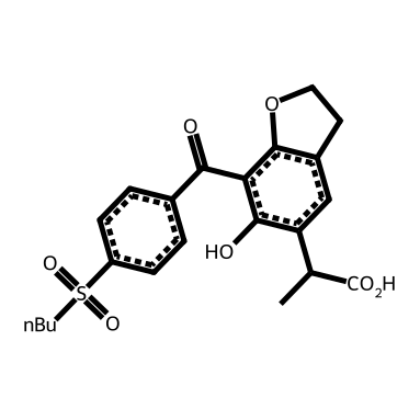 CCCCS(=O)(=O)c1ccc(C(=O)c2c(O)c(C(C)C(=O)O)cc3c2OCC3)cc1